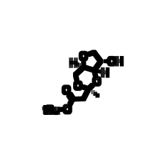 CC(C)(C)OC(=O)C[C@@]1(C)OC[C@H]2OC[C@H](O)[C@H]2O1